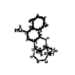 Oc1cc2c(c3nccnc13)C[C@@H]1NCCC[C@]23CCCCC13